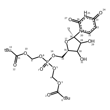 CC(C)(C)C(=O)OCOP(=O)(OCOC(=O)C(C)(C)C)OC[C@H]1O[C@@](C)(n2ccc(=O)[nH]c2=O)C(O)C1O